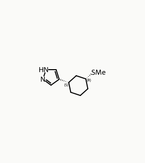 CS[C@@H]1CCC[C@H](c2cn[nH]c2)C1